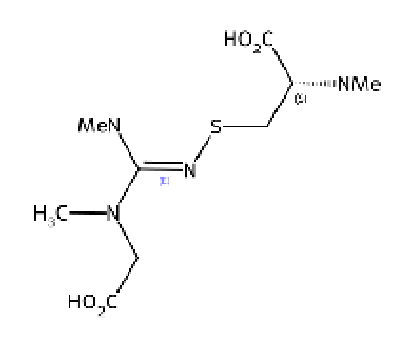 CN/C(=N\SC[C@@H](NC)C(=O)O)N(C)CC(=O)O